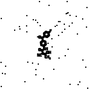 CC(O)=C(C#N)C(=O)Nc1ccc(C(=O)c2ccc(F)cc2)cc1